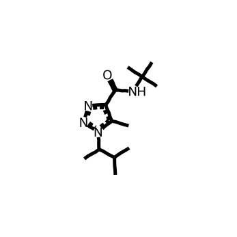 Cc1c(C(=O)NC(C)(C)C)nnn1C(C)C(C)C